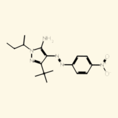 CCC(C)n1nc(C(C)(C)C)c(N=Nc2ccc([N+](=O)[O-])cc2)c1N